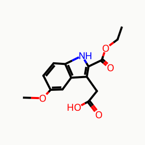 CCOC(=O)c1[nH]c2ccc(OC)cc2c1CC(=O)O